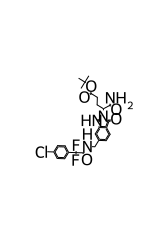 CC(C)(C)OC(=O)CCC(C(N)=O)n1[nH]c2cc(CNC(=O)C(F)(F)c3ccc(Cl)cc3)ccc2c1=O